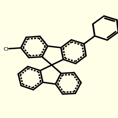 Clc1ccc2c(c1)C1(c3ccccc3-c3ccccc31)c1ccc(C3C=CC=CC3)cc1-2